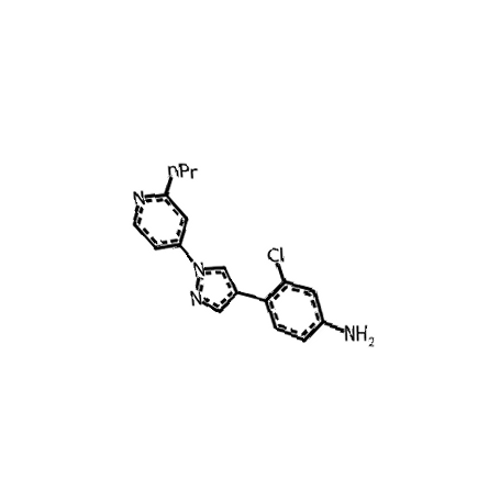 CCCc1cc(-n2cc(-c3ccc(N)cc3Cl)cn2)ccn1